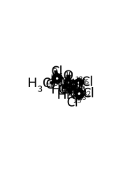 COc1cc(Cl)cc(N2C(=O)C3C4C[C@H](Cl)CN4C4(c5cc(Cl)cc(Cl)c5NC4O)C3C2=O)c1